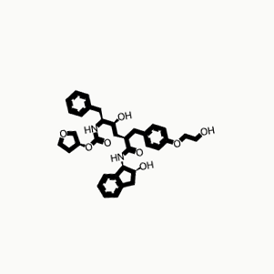 O=C(N[C@@H](Cc1ccccc1)[C@@H](O)C[C@@H](Cc1ccc(OCCO)cc1)C(=O)N[C@H]1c2ccccc2C[C@H]1O)O[C@H]1CCOC1